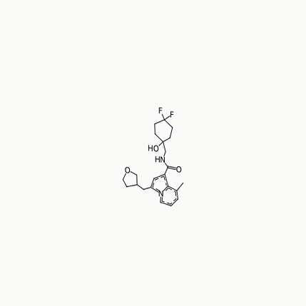 Cc1cccn2c(CC3CCOC3)cc(C(=O)NCC3(O)CCC(F)(F)CC3)c12